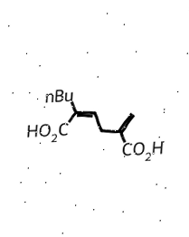 C=C(CC=C(CCCC)C(=O)O)C(=O)O